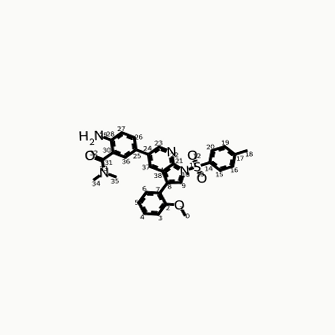 COc1ccccc1-c1cn(S(=O)(=O)c2ccc(C)cc2)c2ncc(-c3ccc(N)c(C(=O)N(C)C)c3)cc12